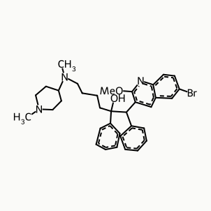 COc1nc2ccc(Br)cc2cc1C(c1ccccc1)C(O)(CCCCN(C)C1CCN(C)CC1)c1ccccc1